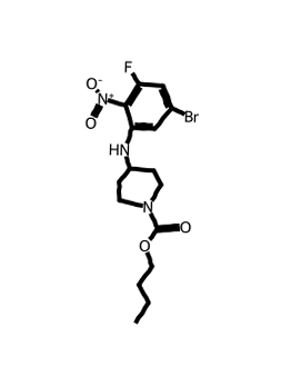 CCCCOC(=O)N1CCC(Nc2cc(Br)cc(F)c2[N+](=O)[O-])CC1